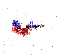 CC(=O)C(O)O.CC(=O)SCCNC(=O)CCNC(=O)C(O)C(C)(C)COP(=O)(O)OP(=O)(O)OC[C@H]1O[C@@H](n2cnc3c(N)ncnc32)[C@H](O)[C@@H]1OP(=O)(O)O